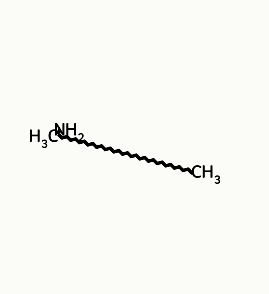 CCCCCCCCCCCCCCCCCCCCCCCCCCCCCCCCC(C)N